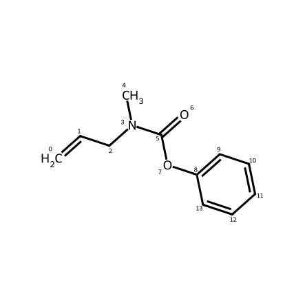 C=CCN(C)C(=O)Oc1ccccc1